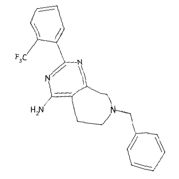 Nc1nc(-c2ccccc2C(F)(F)F)nc2c1CCN(Cc1ccccc1)C2